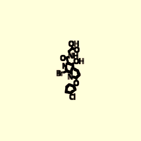 O=C(O)CNC(=O)c1nc(Br)c2nc(Oc3cccc(Cl)c3)ccc2c1O